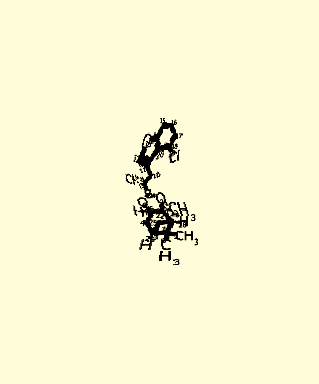 CC1(C)[C@@H]2C[C@H]3OB([C@H](Cl)Cc4coc5cccc(Cl)c45)O[C@@]3(C)[C@H]1C2